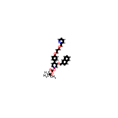 CC(C)(C)OC(=O)ON1CCC(c2ccc(OCCCOCc3ccccn3)cc2)C(OCc2ccc3ccccc3c2)C1